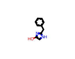 Oc1c[nH]c(Cc2ccccc2)n1